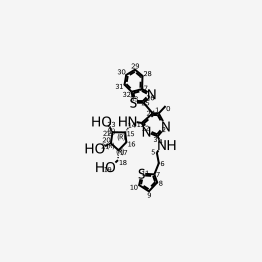 Cc1nc(NCCc2cccs2)nc(N[C@@H]2C[C@H](CO)[C@@H](O)[C@H]2O)c1-c1nc2ccccc2s1